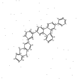 c1ccc(-c2ccc3c4ccc(-c5ncnc(-c6ccc7c(c6)Sc6ccccc6S7)n5)cc4c4ccccc4c3c2)cc1